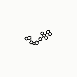 c1ccc2c(-c3c4ccccc4c(-c4ccc(-c5ccc6oc7ccc8c(oc9ccc%10ccccc%10c98)c7c6c5)cc4)c4ccccc34)cccc2c1